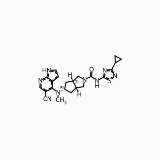 CN(c1c(C#N)cnc2[nH]ccc12)[C@@H]1C[C@@H]2CN(C(=O)Nc3nc(C4CC4)ns3)C[C@@H]2C1